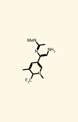 CN/C(C)=N/C(=C\N)C1=CN(C)C(C(F)(F)F)C(C)=C1